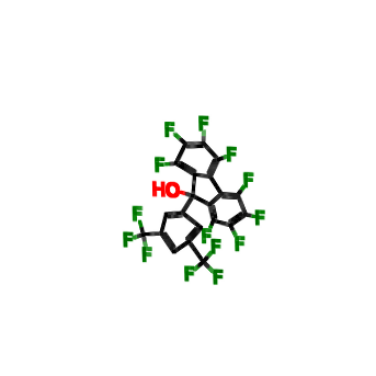 OC1(c2cc(C(F)(F)F)cc(C(F)(F)F)c2)c2c(F)c(F)c(F)c(F)c2-c2c(F)c(F)c(F)c(F)c21